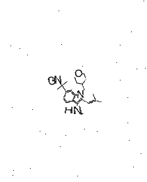 CNc1c(C=C(C)C)n(CC2CCOCC2)c2cc(C(C)(C)N=O)ccc12